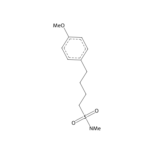 CNS(=O)(=O)CCCCc1ccc(OC)cc1